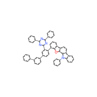 c1ccc(-c2cccc(-c3ccc(-c4cccc5c4oc4c5ccc5c6ccccc6n(-c6ccccc6)c54)c(-c4nc(-c5ccccc5)nc(-c5ccccc5)n4)c3)c2)cc1